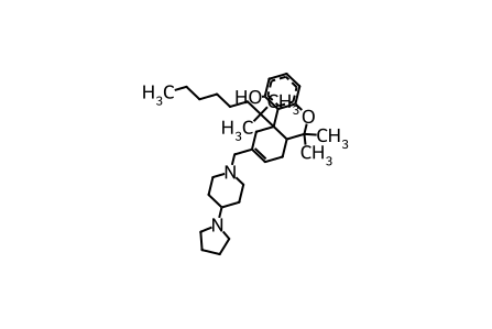 CCCCCCC(C)(C)C12CC(CN3CCC(N4CCCC4)CC3)=CCC1C(C)(C)Oc1cccc(O)c12